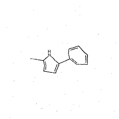 Cc1ccc(-c2ccccc2)[nH]1